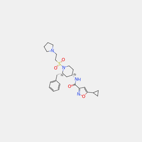 O=C(N[C@H]1CCN(S(=O)(=O)CCN2CCCC2)[C@@H](Cc2ccccc2)C1)c1cc(C2CC2)on1